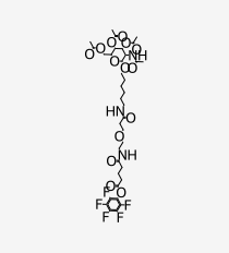 CC(=O)NC1C(OCCCCCCNC(=O)CCOCCNC(=O)CCCC(=O)Oc2c(F)c(F)c(F)c(F)c2F)OC(COC(C)=O)C(OC(C)=O)C1OC(C)=O